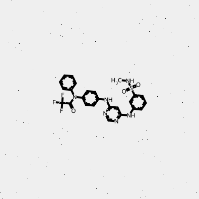 CNS(=O)(=O)c1cccc(Nc2cc(Nc3ccc(N(C(=O)C(F)(F)F)c4ccccc4)cc3)ncn2)c1